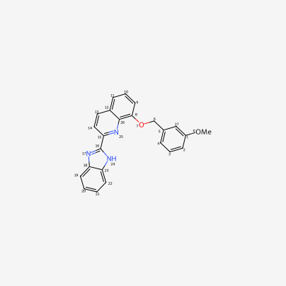 COc1cccc(COc2cccc3ccc(-c4nc5ccccc5[nH]4)nc23)c1